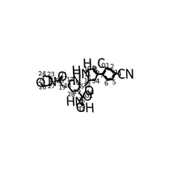 Cc1cc(C#N)ccc1C1=CCNC(C(=O)[C@H]2NC[C@@H](CC(=O)N3CCOCC3)C[C@@H]2C(=O)NO)C1